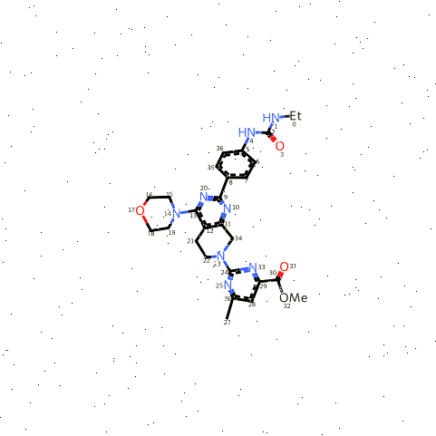 CCNC(=O)Nc1ccc(-c2nc3c(c(N4CCOCC4)n2)CCN(c2nc(C)cc(C(=O)OC)n2)C3)cc1